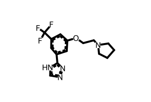 FC(F)(F)c1cc(OCCN2CCCC2)cc(-c2nnc[nH]2)c1